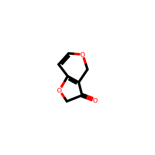 O=C1COC2=C1COC=C2